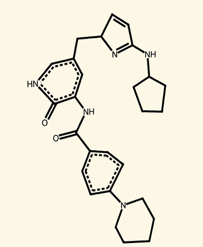 O=C(Nc1cc(CC2C=CC(NC3CCCC3)=N2)c[nH]c1=O)c1ccc(N2CCCCC2)cc1